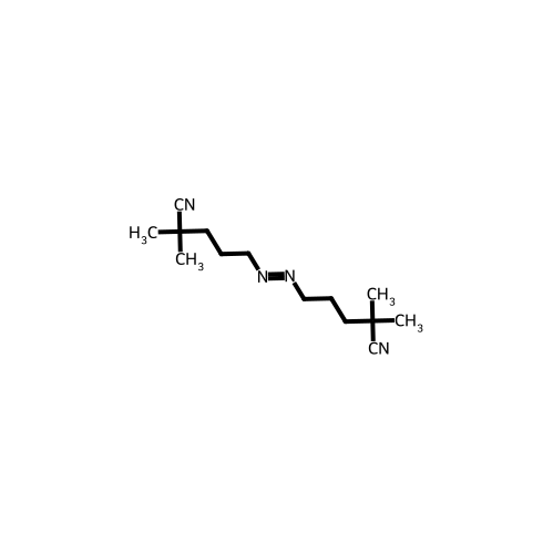 CC(C)(C#N)CCCN=NCCCC(C)(C)C#N